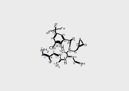 C=C(/N=C\C(F)=C/N)N/C(=N\C=N)C(C)N(CC1CC1)C(=O)c1cc(Cl)cc(C(F)(F)F)c1